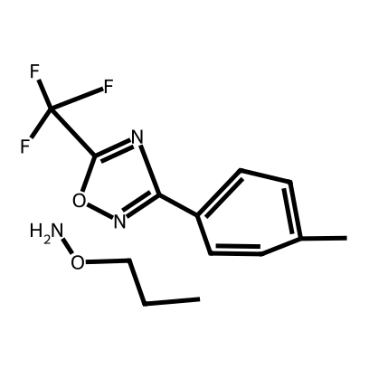 CCCON.Cc1ccc(-c2noc(C(F)(F)F)n2)cc1